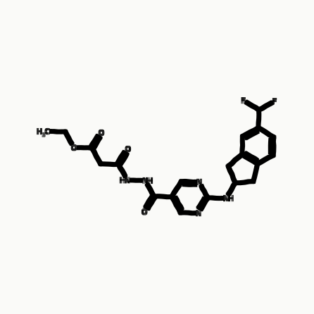 CCOC(=O)CC(=O)NNC(=O)c1cnc(NC2Cc3ccc(C(F)F)cc3C2)nc1